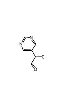 O=CC(Cl)c1cncnc1